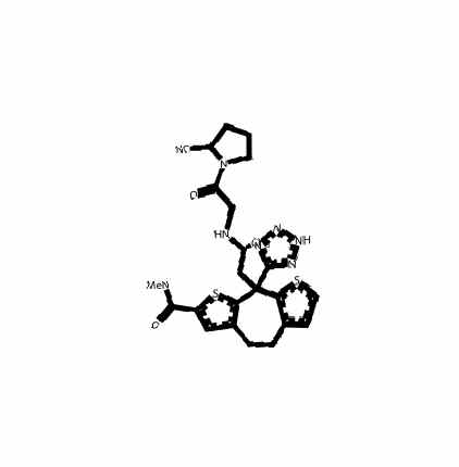 CNC(=O)c1cc2c(s1)C(C[C@H](C)NCC(=O)N1CCCC1C#N)(c1nn[nH]n1)c1sccc1CC2